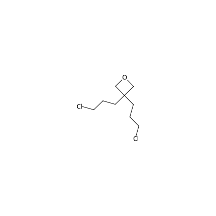 ClCCCC1(CCCCl)COC1